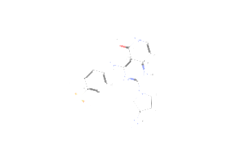 CS(=O)(=O)c1ccc(Nc2nc(N3CCC(N)C3)nc3cc[nH]c(=O)c23)cc1